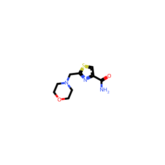 NC(=O)c1csc(CN2CCOCC2)n1